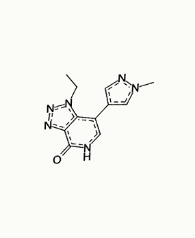 CCn1nnc2c(=O)[nH]cc(-c3cnn(C)c3)c21